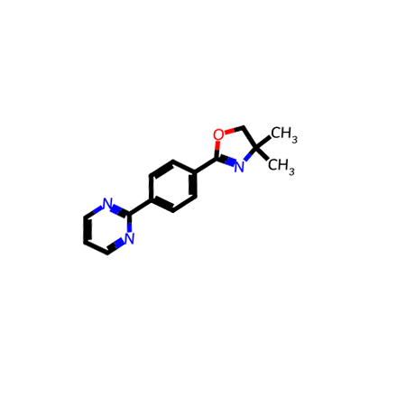 CC1(C)COC(c2ccc(-c3ncccn3)cc2)=N1